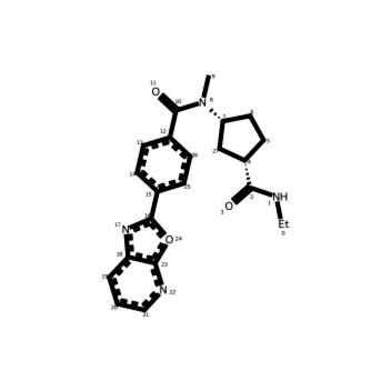 CCNC(=O)[C@H]1CC[C@@H](N(C)C(=O)c2ccc(-c3nc4cccnc4o3)cc2)C1